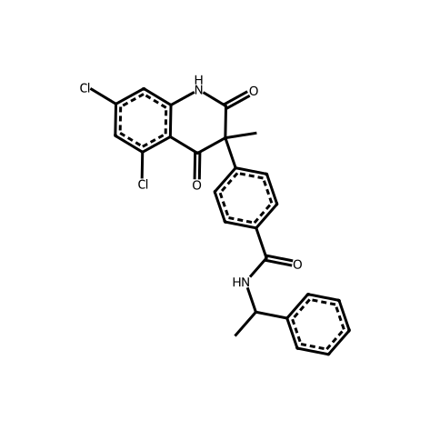 CC(NC(=O)c1ccc(C2(C)C(=O)Nc3cc(Cl)cc(Cl)c3C2=O)cc1)c1ccccc1